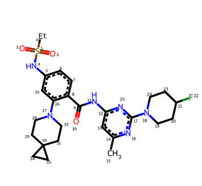 CCS(=O)(=O)Nc1ccc(C(=O)Nc2cc(C)nc(N3CCC(F)CC3)n2)c(N2CCC3(CC2)CC3)c1